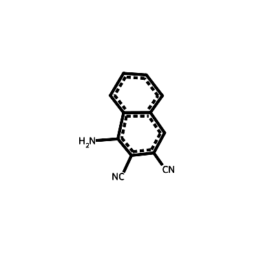 N#Cc1cc2ccccc2c(N)c1C#N